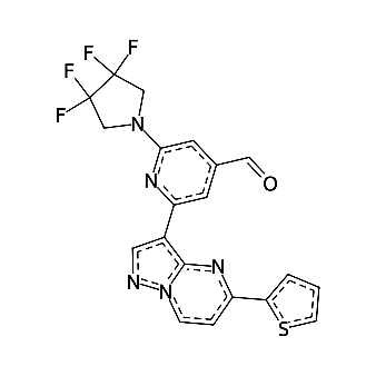 O=Cc1cc(-c2cnn3ccc(-c4cccs4)nc23)nc(N2CC(F)(F)C(F)(F)C2)c1